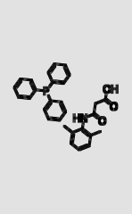 Cc1cccc(C)c1NC(=O)CC(=O)O.c1ccc(P(c2ccccc2)c2ccccc2)cc1